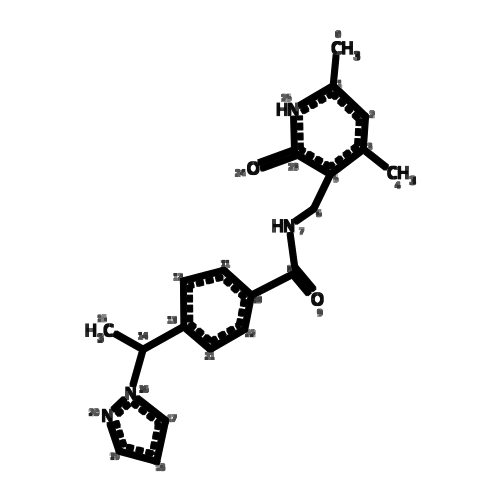 Cc1cc(C)c(CNC(=O)c2ccc(C(C)n3cccn3)cc2)c(=O)[nH]1